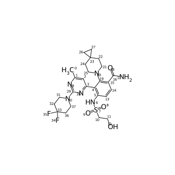 Cc1cc(-c2c(NS(=O)(=O)CCO)ccc(C(N)=O)c2N2CCC3(CC2)CC3)nc(N2CCC(F)(F)CC2)n1